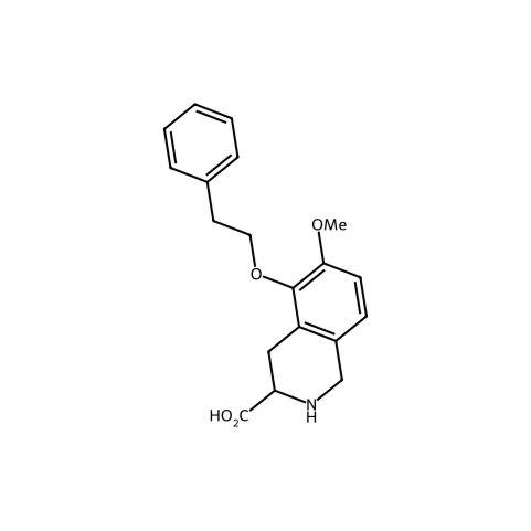 COc1ccc2c(c1OCCc1ccccc1)CC(C(=O)O)NC2